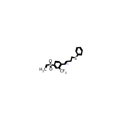 C=CS(=O)(=O)c1ccc(/C=C/CCSc2ccccc2)c(C(F)(F)F)c1